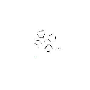 COc1cccc([Si](c2ccccc2)(c2ccccc2)C2(C)C(C)=C(C)C(C)=[C]2[Ti+3])c1.[Cl-].[Cl-].[Cl-]